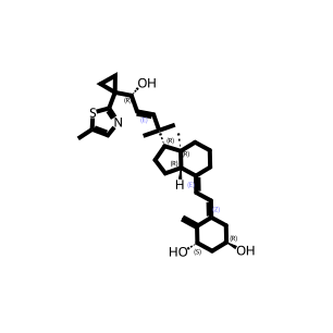 C=C1/C(=C\C=C2/CCC[C@]3(C)[C@@H](C(C)(C)/C=C/[C@@H](O)C4(c5ncc(C)s5)CC4)CC[C@@H]23)C[C@@H](O)C[C@@H]1O